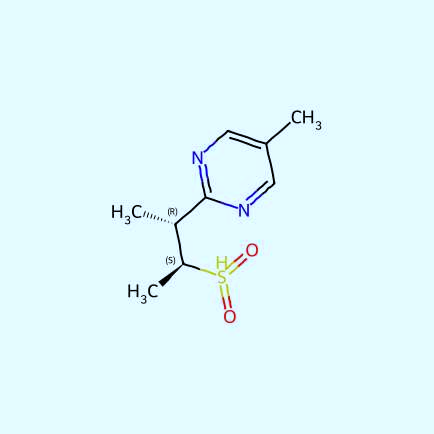 Cc1cnc([C@@H](C)[C@H](C)[SH](=O)=O)nc1